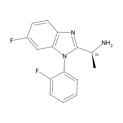 C[C@H](N)c1nc2ccc(F)cc2n1-c1ccccc1F